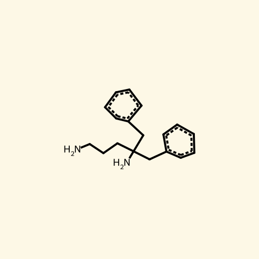 NCCCC(N)(Cc1ccccc1)Cc1ccccc1